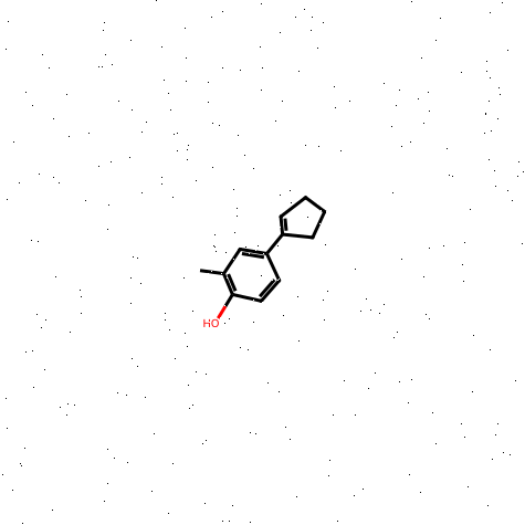 Cc1cc(C2=CCCC2)ccc1O